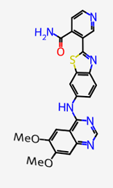 COc1cc2ncnc(Nc3ccc4nc(-c5cnccc5C(N)=O)sc4c3)c2cc1OC